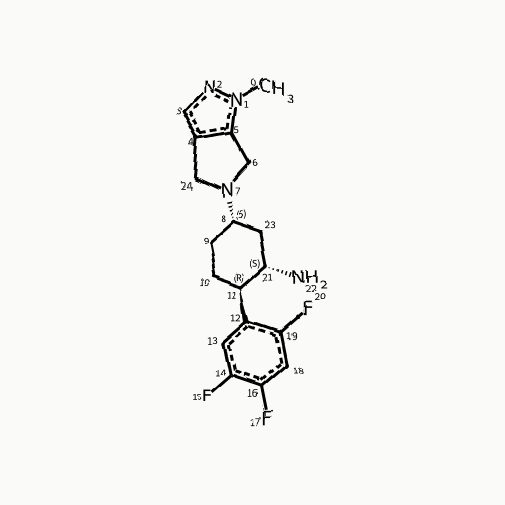 Cn1ncc2c1CN([C@H]1CC[C@H](c3cc(F)c(F)cc3F)[C@@H](N)C1)C2